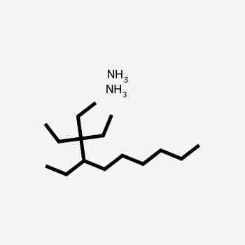 CCCCCCC(CC)C(CC)(CC)CC.N.N